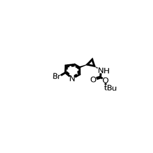 CC(C)(C)OC(=O)N[C@H]1C[C@@H]1c1ccc(Br)nc1